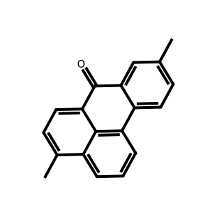 Cc1ccc2c(c1)C(=O)c1ccc(C)c3cccc-2c13